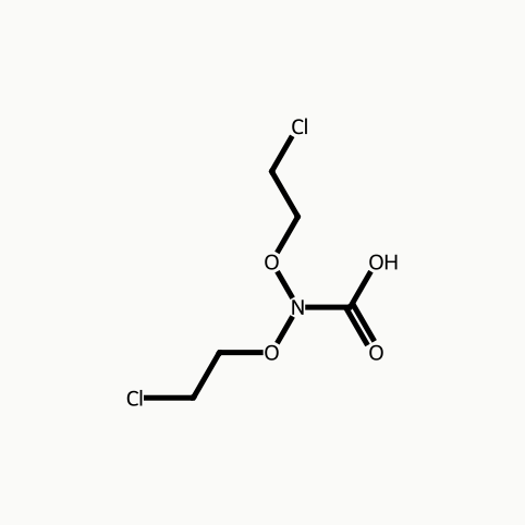 O=C(O)N(OCCCl)OCCCl